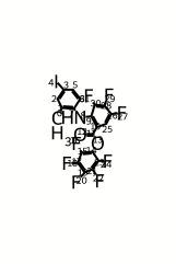 Cc1cc(I)ccc1Nc1c(C(=O)Oc2c(F)c(F)c(F)c(F)c2F)cc(F)c(F)c1F